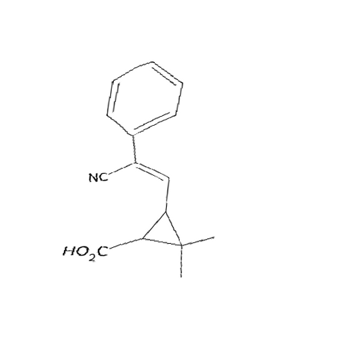 CC1(C)C(C=C(C#N)c2ccccc2)C1C(=O)O